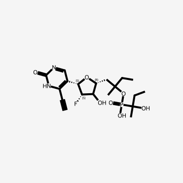 C#Cc1[nH]c(=O)ncc1[C@@H]1O[C@H](CC(C)(CC)OP(=O)(O)C(C)(O)CC)C(O)[C@@H]1F